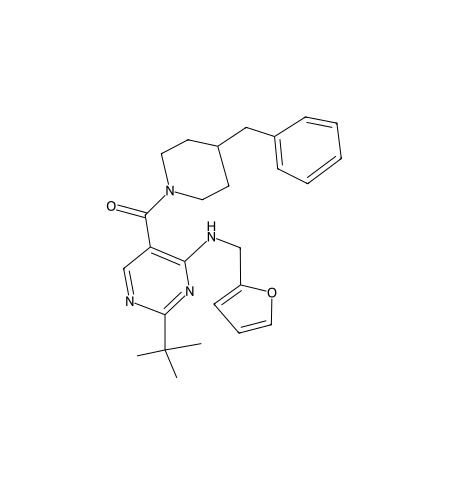 CC(C)(C)c1ncc(C(=O)N2CCC(Cc3ccccc3)CC2)c(NCc2ccco2)n1